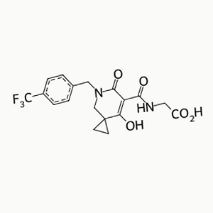 O=C(O)CNC(=O)C1=C(O)C2(CC2)CN(Cc2ccc(C(F)(F)F)cc2)C1=O